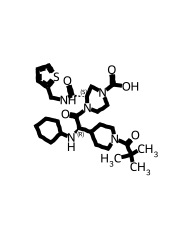 CC(C)(C)C(=O)N1CCC([C@@H](NC2CCCCC2)C(=O)N2CCN(C(=O)O)C[C@H]2C(=O)NCc2cccs2)CC1